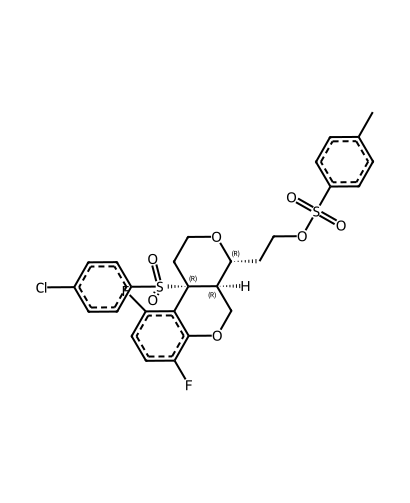 Cc1ccc(S(=O)(=O)OCC[C@H]2OCC[C@]3(S(=O)(=O)c4ccc(Cl)cc4)c4c(F)ccc(F)c4OC[C@H]23)cc1